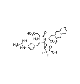 N=C(N)Nc1ccc(C=CC(=O)N(C(=O)[C@@H](N)CC(=O)O)[C@@H](Cc2ccc3ccccc3c2)C(=O)O)cc1.O=C(O)C(F)(F)F